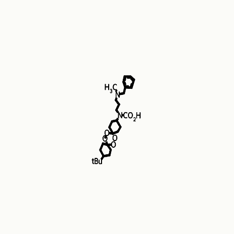 CN(CCCN(C(=O)O)C1CCC2(CC1)OOC1(CCC(C(C)(C)C)CC1)OO2)Cc1ccccc1